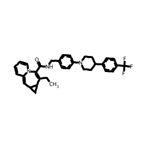 CCC1=C(C(=O)NCc2ccc(N3CCC(c4ccc(C(F)(F)F)cc4)CC3)cc2)N2C=CC=CC2=CC2CC12